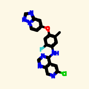 Cc1cc(Nc2ncnc3cnc(Cl)cc23)c(F)cc1Oc1ccn2ncnc2c1